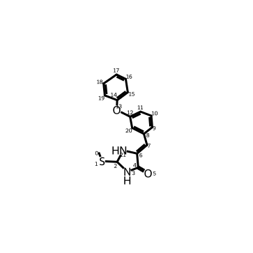 CSC1NC(=O)C(=Cc2cccc(Oc3ccccc3)c2)N1